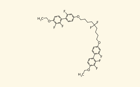 CCOc1ccc(-c2ccc(OCCCCC(F)(F)CCCCOc3ccc(-c4ccc(OCC)c(F)c4F)c(F)c3)cc2F)c(F)c1F